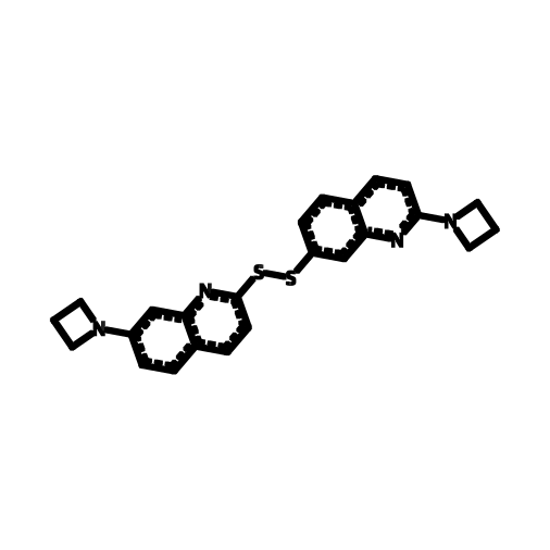 c1cc2ccc(N3CCC3)nc2cc1SSc1ccc2ccc(N3CCC3)cc2n1